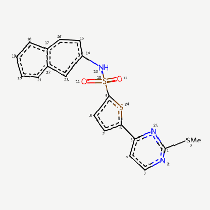 CSc1nccc(-c2ccc(S(=O)(=O)Nc3ccc4ccccc4c3)s2)n1